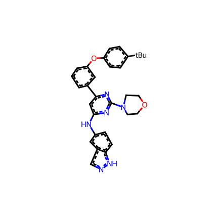 CC(C)(C)c1ccc(Oc2cccc(-c3cc(Nc4ccc5[nH]ncc5c4)nc(N4CCOCC4)n3)c2)cc1